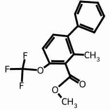 COC(=O)c1c(OC(F)(F)F)ccc(-c2ccccc2)c1C